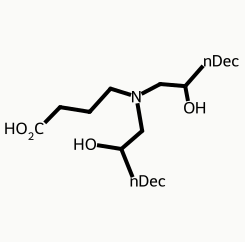 CCCCCCCCCCC(O)CN(CCCC(=O)O)CC(O)CCCCCCCCCC